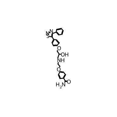 NC(=O)c1ccc(OCCNCC(O)COc2ccc(-c3snnc3-c3ccccc3)cc2)cc1